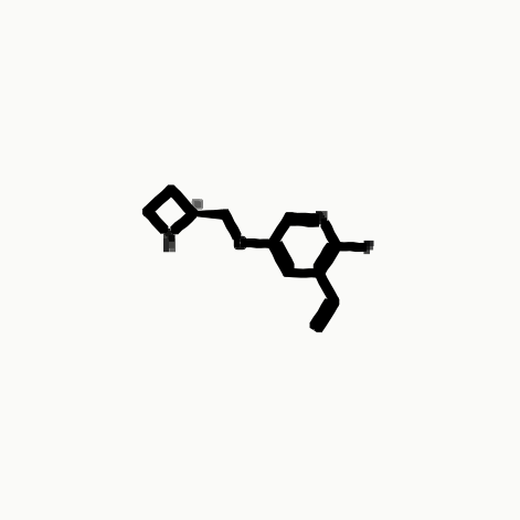 C=Cc1cc(OC[C@@H]2CCN2)cnc1F